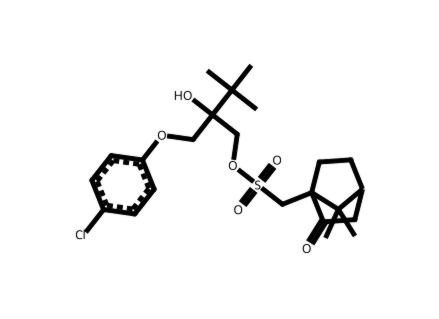 CC(C)(C)C(O)(COc1ccc(Cl)cc1)COS(=O)(=O)CC12CCC(CC1=O)C2(C)C